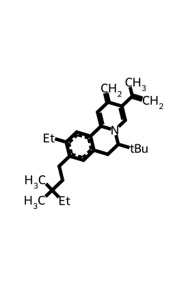 C=C(C)C1=CN2C(=CC1=C)c1cc(CC)c(CCC(C)(C)CC)cc1CC2C(C)(C)C